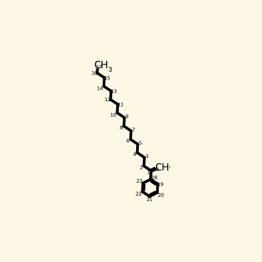 [CH]=C(CCCCCCCCCCCCCCCC)c1ccccc1